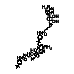 CN(CCCCC(=O)Nc1ccc(C(C)(C)Cc2nc(N)c3ncn([C@@H]4O[C@H](CN(C)CCCN(C)C(=O)Nc5ccc(C(C)(C)C)cc5)[C@@H](O)[C@H]4O)c3n2)cc1)C[C@H]1O[C@@H](n2cnc3c(N)ncnc32)[C@H](O)[C@@H]1O